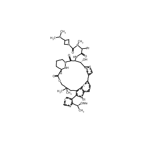 CCn1c(-c2cccnc2[C@H](C)OC)c2c3cc(ccc31)-c1csc(n1)[C@@H](O)[C@H](NC(=O)C(C(C)C)N(C)C(=O)N1CC(N(C)C)C1)C(=O)N1CCC[C@H](N1)C(=O)OCC(C)(C)C2